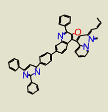 C=N/C(=C\C=C/C)c1oc2c(-c3ccccc3)nc3cc(-c4ccc(-c5cc(-c6ccccc6)nc(-c6ccccc6)n5)cc4)ccc3c2c1-c1ccccn1